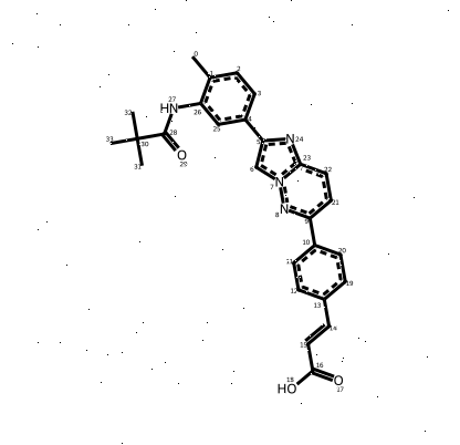 Cc1ccc(-c2cn3nc(-c4ccc(C=CC(=O)O)cc4)ccc3n2)cc1NC(=O)C(C)(C)C